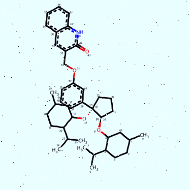 CC1CCC(C(C)C)C(O[C@@H]2CCC[C@]2(OC2CC(C)CCC2C(C)C)c2cccc(OCc3cc4ccccc4[nH]c3=O)c2)C1